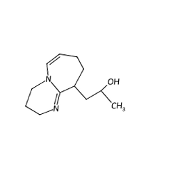 CC(O)CC1CCC=CN2CCCN=C12